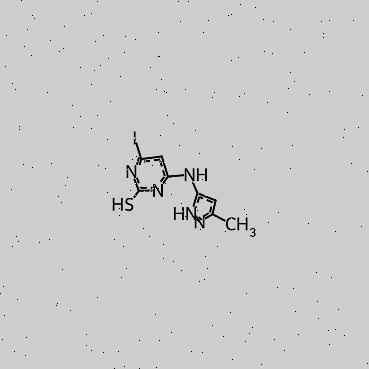 Cc1cc(Nc2cc(I)nc(S)n2)[nH]n1